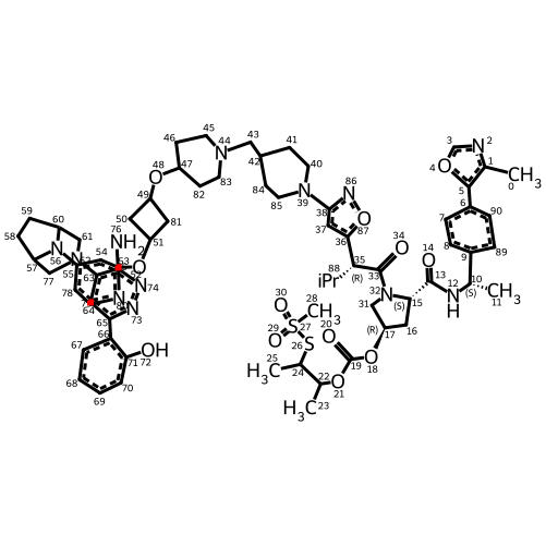 Cc1ncoc1-c1ccc([C@H](C)NC(=O)[C@@H]2C[C@@H](OC(=O)OC(C)C(C)SS(C)(=O)=O)CN2C(=O)[C@@H](c2cc(N3CCC(CN4CCC(OC5CC(Oc6cc(N7C8CCC7CN(c7cc(-c9ccccc9O)nnc7N)C8)ccn6)C5)CC4)CC3)no2)C(C)C)cc1